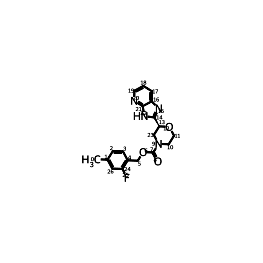 Cc1ccc(COC(=O)N2CCO[C@H](c3nc4cccnc4[nH]3)C2)c(F)c1